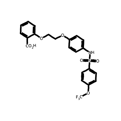 O=C(O)c1ccccc1OCCOc1ccc(NS(=O)(=O)c2ccc(OC(F)(F)F)cc2)cc1